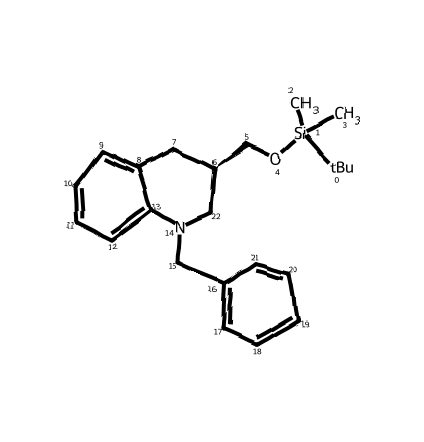 CC(C)(C)[Si](C)(C)OC[C@@H]1Cc2ccccc2N(Cc2ccccc2)C1